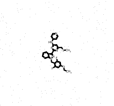 CCOc1cc(F)c(Cn2nc(-c3nc(CSC)cc(Nc4ccncc4)n3)c3ccccc32)c(F)c1